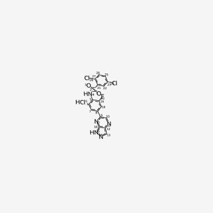 Cl.O=S(=O)(Nc1ccc(-c2cnc3cn[nH]c3n2)cc1F)c1cc(Cl)ccc1Cl